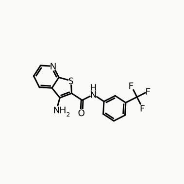 Nc1c(C(=O)Nc2cccc(C(F)(F)F)c2)sc2ncccc12